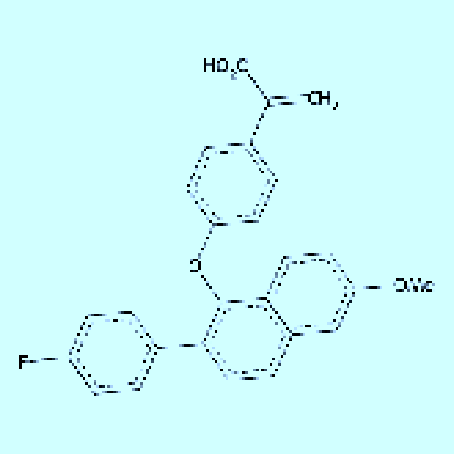 C=C(C(=O)O)c1ccc(Oc2c(-c3ccc(F)cc3)ccc3cc(OC)ccc23)cc1